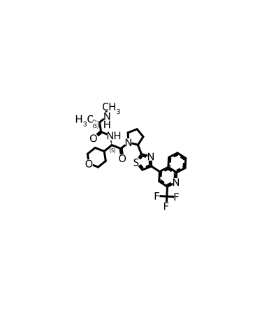 CN[C@@H](C)C(=O)N[C@H](C(=O)N1CCCC1c1nc(-c2cc(C(F)(F)F)nc3ccccc23)cs1)C1CCOCC1